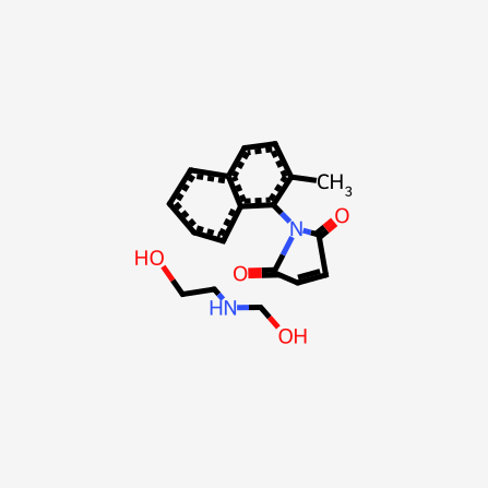 Cc1ccc2ccccc2c1N1C(=O)C=CC1=O.OCCNCO